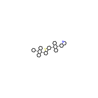 c1ccc(-c2c3ccccc3c(-c3cccc4c3sc3ccc(-c5c6ccccc6c(-c6ccc7cccnc7c6)c6ccccc56)cc34)c3ccccc23)cc1